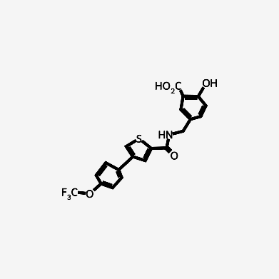 O=C(NCc1ccc(O)c(C(=O)O)c1)c1cc(-c2ccc(OC(F)(F)F)cc2)cs1